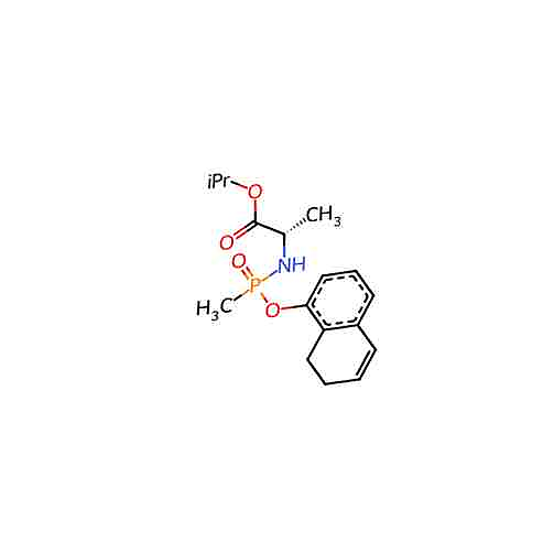 CC(C)OC(=O)[C@H](C)NP(C)(=O)Oc1cccc2c1CCC=C2